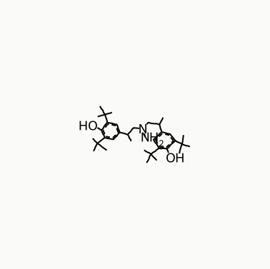 CC(CN(N)CC(C)c1cc(C(C)(C)C)c(O)c(C(C)(C)C)c1)c1cc(C(C)(C)C)c(O)c(C(C)(C)C)c1